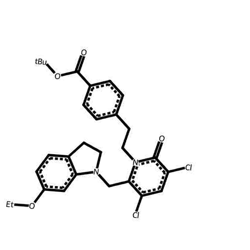 CCOc1ccc2c(c1)N(Cc1c(Cl)cc(Cl)c(=O)n1CCc1ccc(C(=O)OC(C)(C)C)cc1)CC2